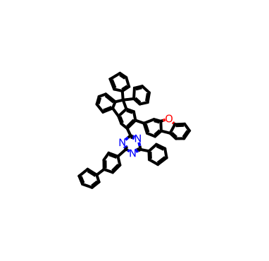 c1ccc(-c2ccc(-c3nc(-c4ccccc4)nc(-c4cc5c(cc4-c4ccc6c(c4)oc4ccccc46)C(c4ccccc4)(c4ccccc4)c4ccccc4-5)n3)cc2)cc1